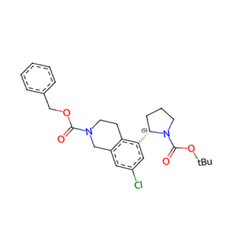 CC(C)(C)OC(=O)N1CCC[C@H]1c1cc(Cl)cc2c1CCN(C(=O)OCc1ccccc1)C2